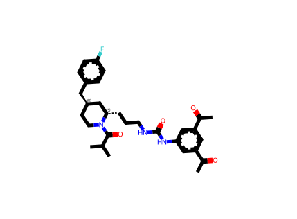 CC(=O)c1cc(NC(=O)NCCC[C@H]2C[C@H](Cc3ccc(F)cc3)CCN2C(=O)C(C)C)cc(C(C)=O)c1